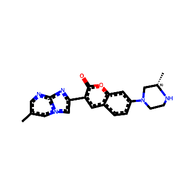 Cc1cnc2nc(-c3cc4ccc(N5CCN[C@@H](C)C5)cc4oc3=O)cn2c1